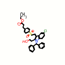 CCOC(=O)CCc1ccc(S(=O)(=O)CCc2c(CCO)n(C(c3ccccc3)c3ccccc3)c3ccc(Cl)cc23)cc1